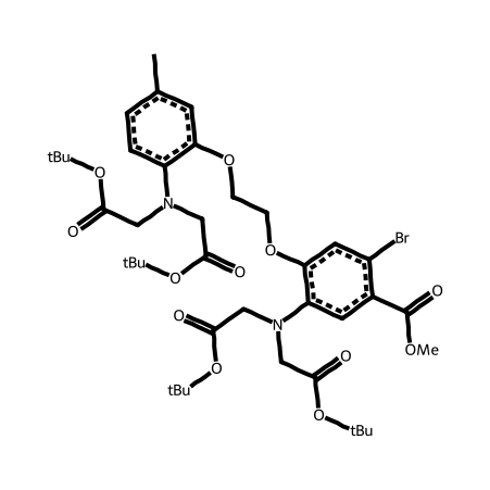 COC(=O)c1cc(N(CC(=O)OC(C)(C)C)CC(=O)OC(C)(C)C)c(OCCOc2cc(C)ccc2N(CC(=O)OC(C)(C)C)CC(=O)OC(C)(C)C)cc1Br